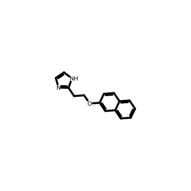 c1ccc2cc(OCCc3ncc[nH]3)ccc2c1